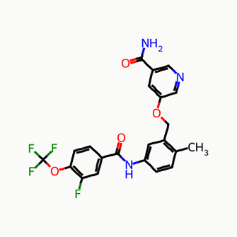 Cc1ccc(NC(=O)c2ccc(OC(F)(F)F)c(F)c2)cc1COc1cncc(C(N)=O)c1